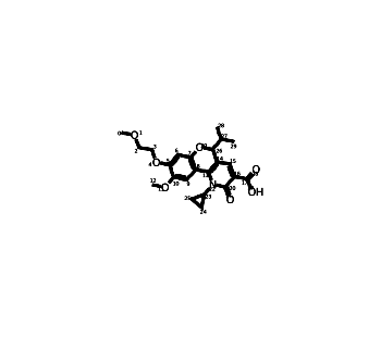 COCCOc1cc2c(cc1OC)-c1c(cc(C(=O)O)c(=O)n1C1CC1)C(C(C)C)O2